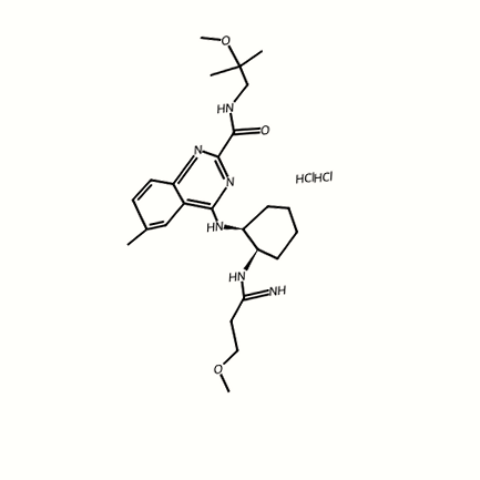 COCCC(=N)N[C@@H]1CCCC[C@@H]1Nc1nc(C(=O)NCC(C)(C)OC)nc2ccc(C)cc12.Cl.Cl